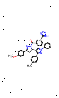 COc1ccc(C2=NN(C(=O)c3cccc(-c4nnn[nH]4)c3)C(c3cn(-c4ccccc4)nc3-c3ccc(C)cc3)C2)cc1